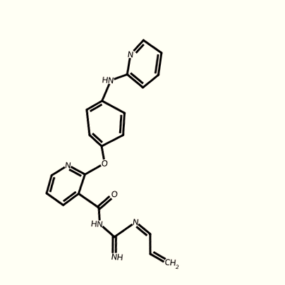 C=C/C=N\C(=N)NC(=O)c1cccnc1Oc1ccc(Nc2ccccn2)cc1